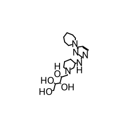 OC[C@@H](O)[C@@H](O)[C@@H](O)CN1CCCC(Nc2nccc(N3CCCCCC3)n2)C1